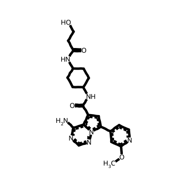 COc1cc(-c2cc(C(=O)NC3CCC(NC(=O)CCO)CC3)c3c(N)ncnn23)ccn1